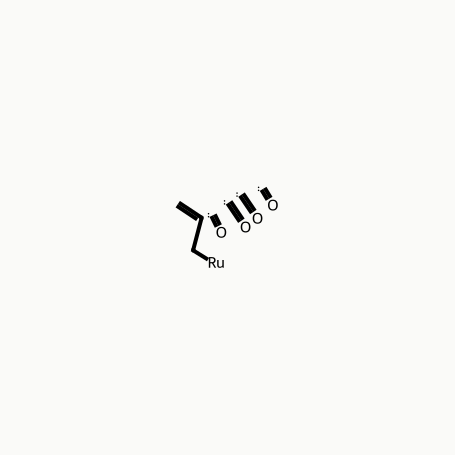 C=C[CH2][Ru].[C]=O.[C]=O.[C]=O.[C]=O